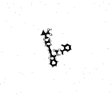 Cc1ccccc1C(C)OC(=O)Nc1c(C#Cc2nc3nc(C4(C(=O)O)CC4)sc3s2)oc2ccccc12